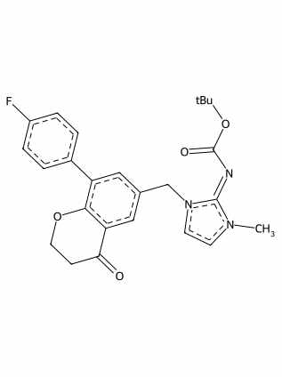 Cn1ccn(Cc2cc3c(c(-c4ccc(F)cc4)c2)OCCC3=O)/c1=N\C(=O)OC(C)(C)C